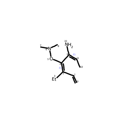 C=C/C(CC)=C(ON(C)C)\C(N)=C/C